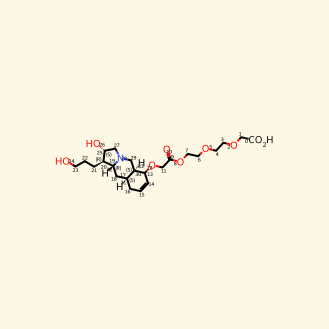 O=C(O)COCCOCCOC(=O)COC1C=CC[C@H]2C[C@@H]3[C@@H](CCCO)[C@H](O)CN3C[C@@H]12